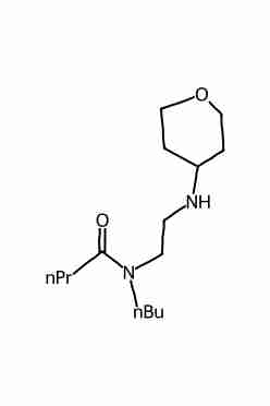 CCCCN(CCNC1CCOCC1)C(=O)CCC